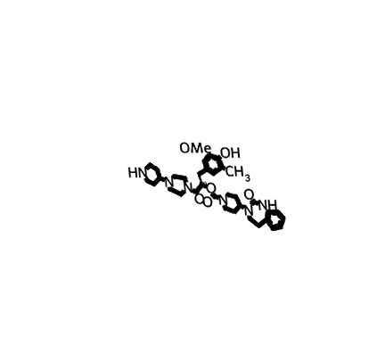 COc1cc(C[C@@H](OC(=O)N2CCC(N3CCc4ccccc4NC3=O)CC2)C(=O)N2CCN(C3CCNCC3)CC2)cc(C)c1O